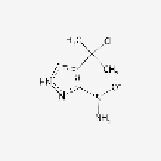 CC(C)(Cl)c1c[nH]nc1[S+](N)[O-]